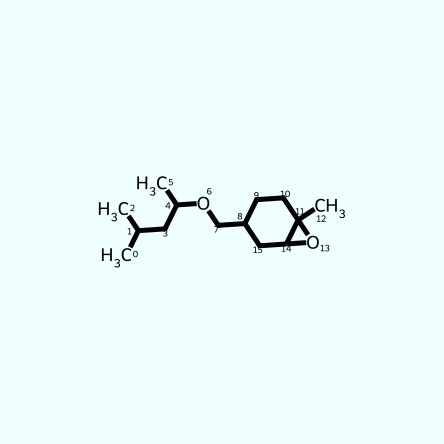 CC(C)CC(C)OCC1CCC2(C)OC2C1